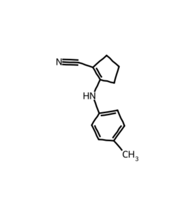 Cc1ccc(NC2=C(C#N)CCC2)cc1